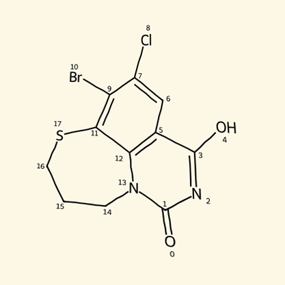 O=c1nc(O)c2cc(Cl)c(Br)c3c2n1CCCS3